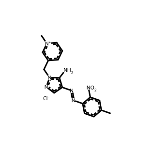 Cc1ccc(N=Nc2cnn(Cc3ccc[n+](C)c3)c2N)c([N+](=O)[O-])c1.[Cl-]